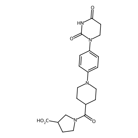 O=C1CCN(c2ccc(N3CCC(C(=O)N4CCC(C(=O)O)C4)CC3)cc2)C(=O)N1